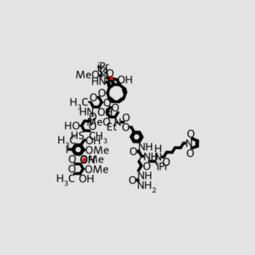 CCN(C(=O)OCc1ccc(NC(=O)[C@H](CCCNC(N)=O)NC(=O)[C@@H](NC(=O)CCCCCN2C(=O)C=CC2=O)C(C)C)cc1)[C@H]1CO[C@@H](O[C@H]2[C@H](O[C@H]3C#C/C=C\C#C[C@]4(O)CC(=O)C(NC(=O)OC)=C3/C4=C\CSSC(C)C)O[C@H](C)[C@@H](NO[C@H]3C[C@H](O)[C@H]([SH]=C(O)c4c(C)c(I)c(O[C@@H]5O[C@@H](C)[C@H](O)[C@@H](OC)[C@H]5O)c(OC)c4OC)[C@@H](C)O3)[C@@H]2O)C[C@@H]1OC